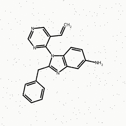 C=Cc1cncnc1-n1c(Cc2ccccc2)nc2cc(N)ccc21